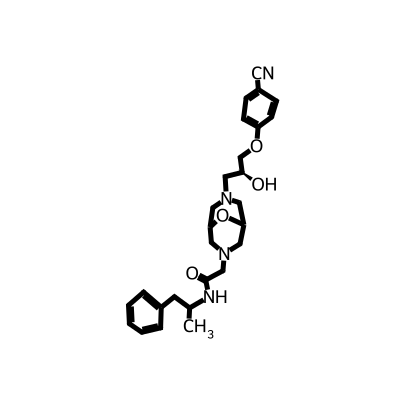 CC(Cc1ccccc1)NC(=O)CN1CC2CN(C[C@H](O)COc3ccc(C#N)cc3)CC(C1)O2